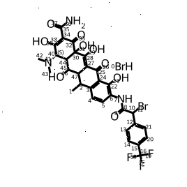 Br.CC1c2ccc(NC(=O)C(Br)c3ccc(C(F)(F)F)cc3)c(O)c2C(=O)C2=C(O)C3(O)C(=O)C(C(N)=O)=C(O)[C@@H](N(C)C)C3C(O)C21